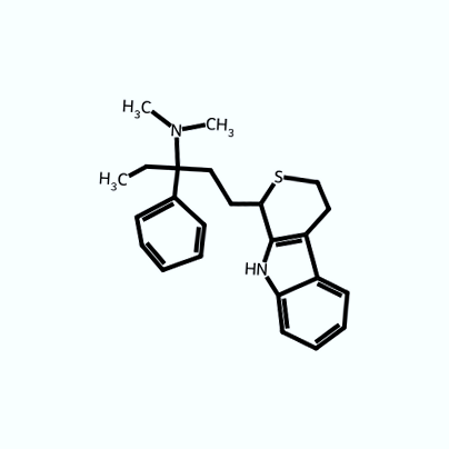 CCC(CCC1SCCc2c1[nH]c1ccccc21)(c1ccccc1)N(C)C